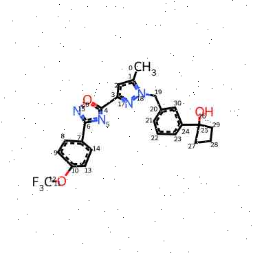 Cc1cc(-c2nc(-c3ccc(OC(F)(F)F)cc3)no2)nn1Cc1cccc(C2(O)CCC2)c1